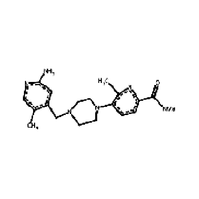 CNC(=O)c1ccc(N2CCN(Cc3cc(N)ncc3C)CC2)c(C)n1